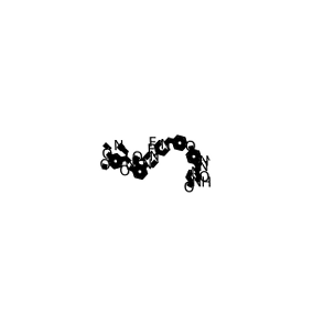 CCOc1cc([C@@H](CC#N)N2C(=O)c3cccc(N4CCN([C@@H]5CCN(Cc6ccc(Oc7ccc8c(N9CCC(=O)NC9=O)nn(C)c8c7)cc6)CC5(F)F)CC4)c3C2=O)ccc1OC